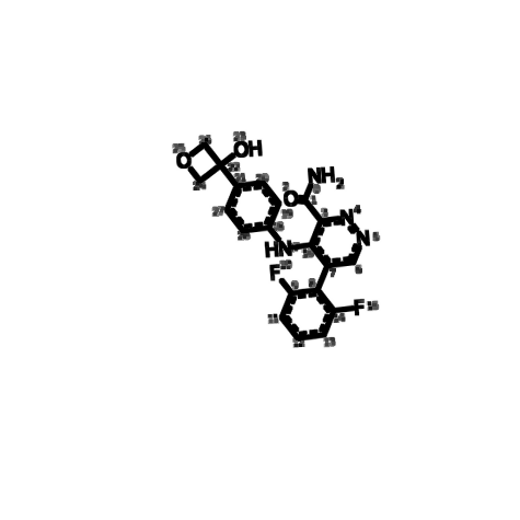 NC(=O)c1nncc(-c2c(F)cccc2F)c1Nc1ccc(C2(O)COC2)cc1